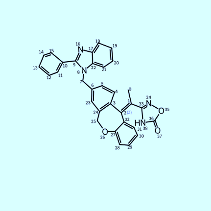 C/C(=C1\c2ccc(Cn3c(-c4ccccc4)nc4ccccc43)cc2COc2ccccc21)c1noc(=O)[nH]1